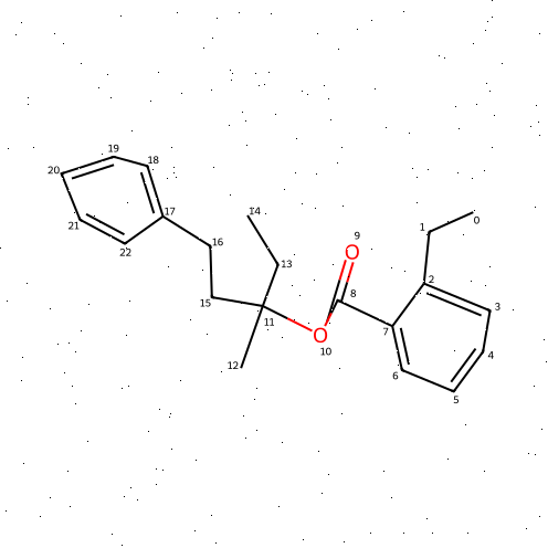 CCc1ccccc1C(=O)OC(C)(CC)CCc1ccccc1